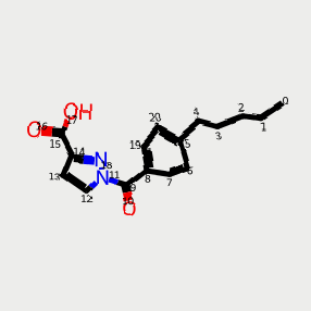 CCCCCc1ccc(C(=O)n2ccc(C(=O)O)n2)cc1